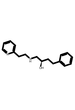 O[C@H]([CH]Cc1ccccc1)CNCCc1ccccn1